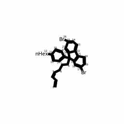 C=C/C=C\CCCC1(c2ccc(CCCCCC)cc2)c2cc(Br)ccc2-c2ccc(Br)cc21